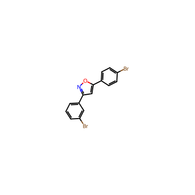 Brc1ccc(-c2cc(-c3cccc(Br)c3)no2)cc1